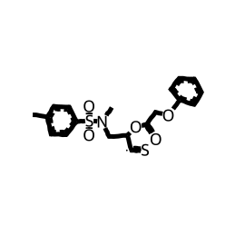 Cc1ccc(S(=O)(=O)N(C)CC([C]=S)OC(=O)COc2ccccc2)cc1